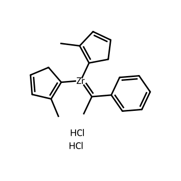 CC1=[C]([Zr]([C]2=C(C)C=CC2)=[C](C)c2ccccc2)CC=C1.Cl.Cl